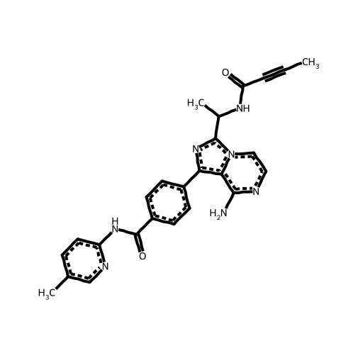 CC#CC(=O)NC(C)c1nc(-c2ccc(C(=O)Nc3ccc(C)cn3)cc2)c2c(N)nccn12